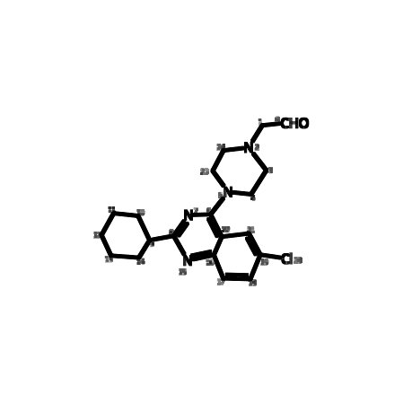 O=CCN1CCN(c2nc(C3CCCCC3)nc3ccc(Cl)cc23)CC1